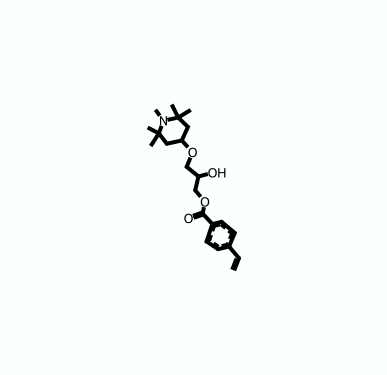 C=Cc1ccc(C(=O)OCC(O)COC2CC(C)(C)N(C)C(C)(C)C2)cc1